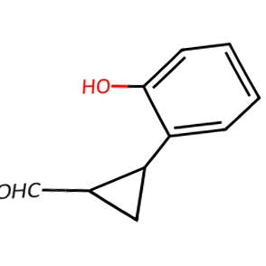 O=CC1CC1c1ccccc1O